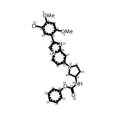 COc1cc(OC)c(-c2cn3ccc(N4CCC(NC(=O)Oc5ccccc5)C4)cc3n2)cc1Cl